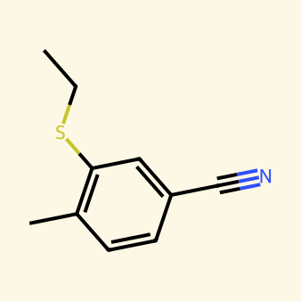 CCSc1cc(C#N)ccc1C